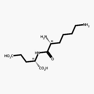 NCCCC[C@@H](N)C(=O)N[C@@H](CCC(=O)O)C(=O)O